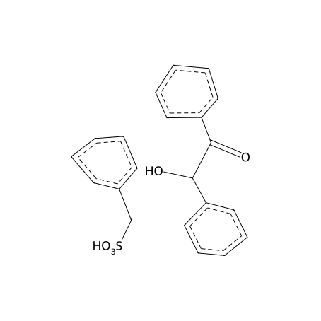 O=C(c1ccccc1)C(O)c1ccccc1.O=S(=O)(O)Cc1ccccc1